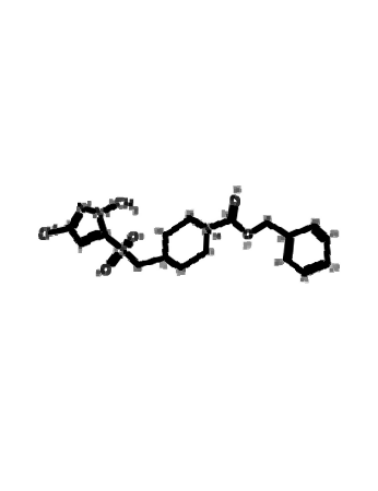 Cn1nc(Cl)cc1S(=O)(=O)CC1CCN(C(=O)OCc2ccccc2)CC1